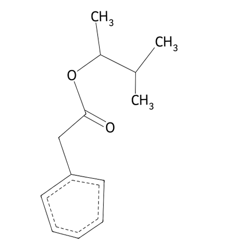 CC(C)C(C)OC(=O)Cc1ccccc1